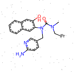 CC(C)CN(C)C(=O)N(Cc1ccc(N)nc1)c1cc2ccccc2cc1O